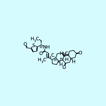 CC[C@@H](NC(=O)C[C@@H](C)C1CC[C@H]2[C@@H]3C(=O)C[C@@H]4CC(=O)CC[C@]4(C)[C@H]3CC[C@]12C)c1ccc(C=O)s1